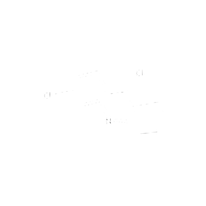 Clc1ccc2c(Cl)c3c(nc2c1)CCCC3